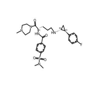 CN1CCN(C(=O)[C@H](CCCN[C@@H]2C[C@H]2c2ccc(F)cc2)NC(=O)c2ccc(S(=O)(=O)N(C)C)cc2)CC1